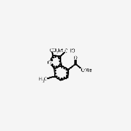 CCOC(=O)c1oc2c(C)ccc(C(=O)OC)c2c1C=O